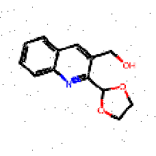 OCc1cc2ccccc2nc1C1OCCO1